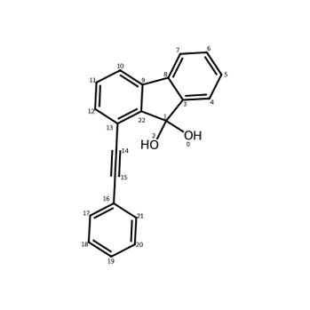 OC1(O)c2ccccc2-c2cccc(C#Cc3ccccc3)c21